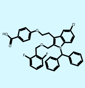 O=C(O)c1ccc(OCCc2c(COCc3c(F)cccc3F)n(C(c3ccccc3)c3ccccc3)c3ccc(Cl)cc23)cc1